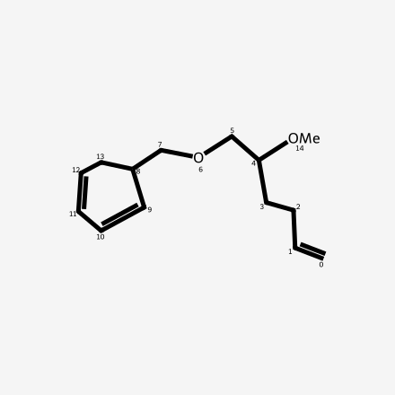 C=CCCC(COCC1C=CC=CC1)OC